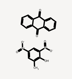 Cc1cc([N+](=O)[O-])cc([N+](=O)[O-])c1O.O=C1c2ccccc2C(=O)c2ccccc21